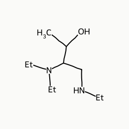 CCNCC(C(C)O)N(CC)CC